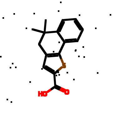 CC1(C)Cc2cc(C(=O)O)sc2-c2ccccc21